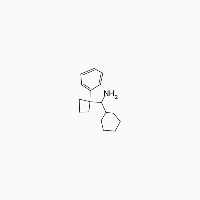 NC(C1CCCCC1)C1(c2ccccc2)CCC1